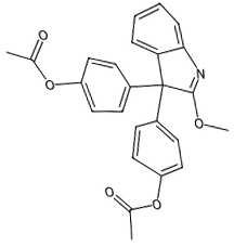 COC1=Nc2ccccc2C1(c1ccc(OC(C)=O)cc1)c1ccc(OC(C)=O)cc1